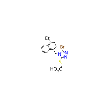 CCC1=c2ccccc2=C(Cn2c(Br)nnc2SCC(=O)O)CC1